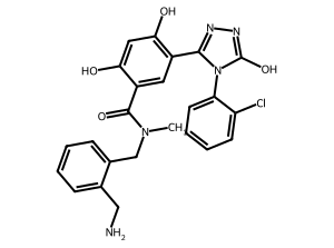 CN(Cc1ccccc1CN)C(=O)c1cc(-c2nnc(O)n2-c2ccccc2Cl)c(O)cc1O